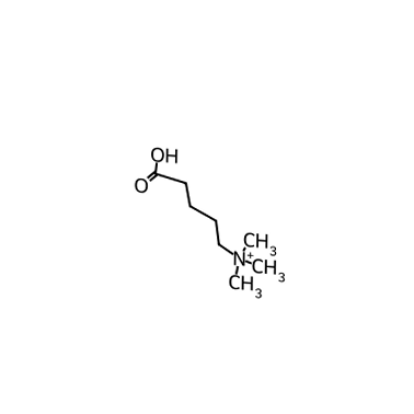 C[N+](C)(C)CCCCC(=O)O